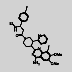 CCN[C@H](CC(=O)N1CCC(c2nc(N)c3cc(OC)c(OC)c(F)c3n2)C(c2ccccn2)C1)c1ccc(F)cc1